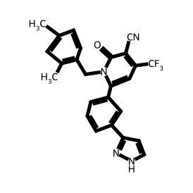 Cc1ccc(Cn2c(-c3cccc(-c4cc[nH]n4)c3)cc(C(F)(F)F)c(C#N)c2=O)c(C)c1